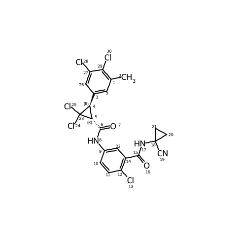 Cc1cc([C@H]2[C@H](C(=O)Nc3ccc(Cl)c(C(=O)NC4(C#N)CC4)c3)C2(Cl)Cl)cc(Cl)c1Cl